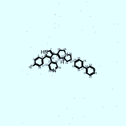 Fc1ccc(-c2[nH]cc(C3=C[C@@H]4C[C@@H](c5ccc(-c6ccccc6)cc5)CN4CC3)c2-c2ccncc2)cc1